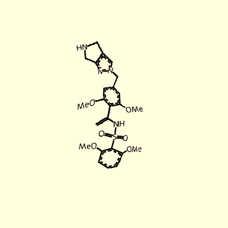 C=C(NS(=O)(=O)c1c(OC)cccc1OC)c1c(OC)cc(Cn2cc3c(n2)CNC3)cc1OC